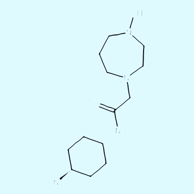 CN1CCCN(CC(=O)N[C@H]2CC[C@H](N)CC2)CC1